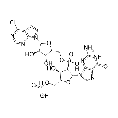 Nc1nc2c(ncn2[C@@H]2O[C@H](CO[PH](=O)O)[C@@H](O)[C@H]2P(=O)(O)OC[C@H]2O[C@@H](n3ccc4c(Cl)ncnc43)[C@H](O)[C@@H]2O)c(=O)[nH]1